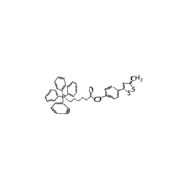 C=C1C=C(c2ccc(OC(=O)CCCCCP(c3ccccc3)(c3ccccc3)(c3ccccc3)c3ccccc3)cc2)SS1